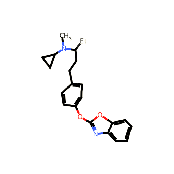 CCC(CCc1ccc(Oc2nc3ccccc3o2)cc1)N(C)C1CC1